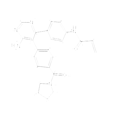 C=CC(=O)Nc1ccc(-c2ncnc(N)c2-c2ccc(C(=O)N3CCCC3)cc2)cc1